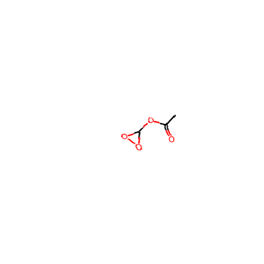 CC(=O)OC1OO1